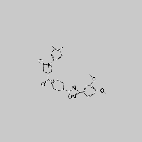 COc1ccc(-c2noc(C3CCN(C(=O)C4CC(=O)N(c5ccc(C)c(C)c5)C4)CC3)n2)cc1OC